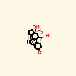 C[C@]12CC(CO)[C@H]3[C@@H](CCC4=CC(=O)CC[C@@]43C)[C@@H]1CC[C@@H]2O